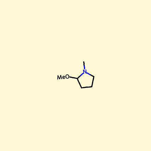 COC1CCCN1C